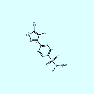 CON(C)S(=O)(=O)c1ccc(-c2n[nH]c(O)c2C)cc1